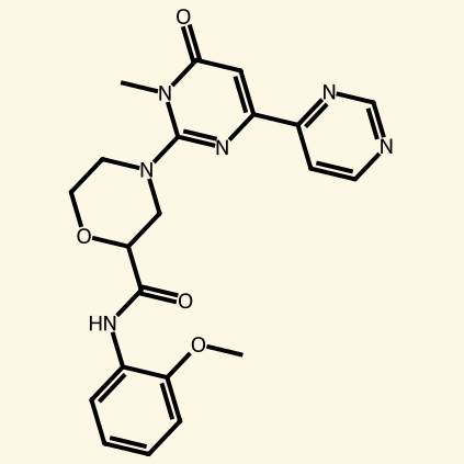 COc1ccccc1NC(=O)C1CN(c2nc(-c3ccncn3)cc(=O)n2C)CCO1